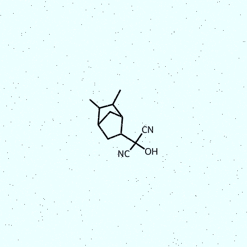 CC1C2CC(C1C)C(C(O)(C#N)C#N)C2